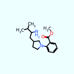 COC(=O)c1ccccc1N1CCC(CC(N)C(C)C)C1